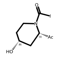 CC(=O)[C@@H]1C[C@H](O)CCN1C(=O)I